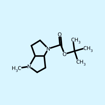 CN1CCC2C1CCN2C(=O)OC(C)(C)C